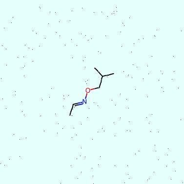 [CH2]C=NOCC(C)C